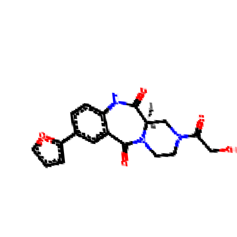 O=C1Nc2ccc(-c3ccco3)cc2C(=O)N2CCN(C(=O)CO)C[C@H]12